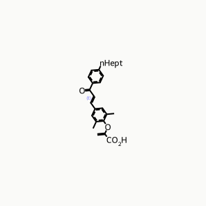 C=C(Oc1c(C)cc(/C=C/C(=O)c2ccc(CCCCCCC)cc2)cc1C)C(=O)O